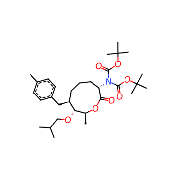 Cc1ccc(C[C@H]2CCC[C@H](N(C(=O)OC(C)(C)C)C(=O)OC(C)(C)C)C(=O)O[C@@H](C)[C@@H]2OCC(C)C)cc1